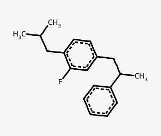 CC(C)Cc1ccc(CC(C)c2ccccc2)cc1F